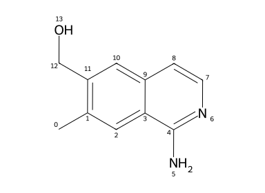 Cc1cc2c(N)nccc2cc1CO